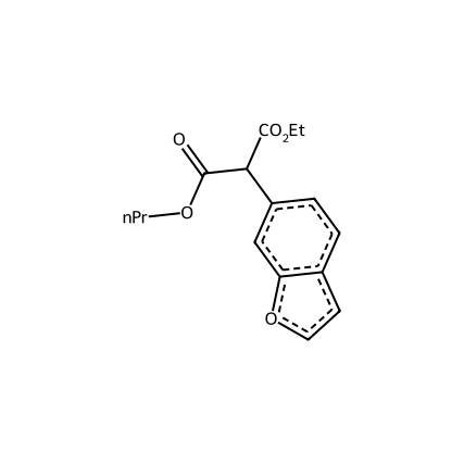 CCCOC(=O)C(C(=O)OCC)c1ccc2ccoc2c1